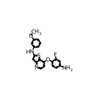 COc1cccc(Nc2cc3nccc(Oc4ccc(N)cc4F)c3s2)c1